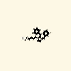 CCCCCN1C=CN(Cc2ccccc2)C1Cc1ccccc1